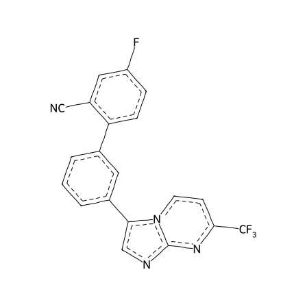 N#Cc1cc(F)ccc1-c1cccc(-c2cnc3nc(C(F)(F)F)ccn23)c1